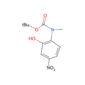 CN(C(=O)OC(C)(C)C)c1ccc([N+](=O)[O-])cc1O